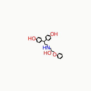 Oc1ccc(C(CCNCC(O)COc2ccccc2)c2ccc(O)cc2)cc1